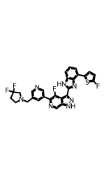 Fc1ccc(-c2cccc3[nH]c(-c4n[nH]c5cnc(-c6cncc(CN7CCC(F)(F)C7)c6)c(F)c45)nc23)s1